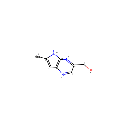 CC(C)(C)c1cc2ncc(CO)nc2[nH]1